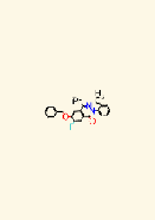 Cc1ccccc1-n1nc(C(C)C)c2cc(OCc3ccccc3)c(F)cc2c1=O